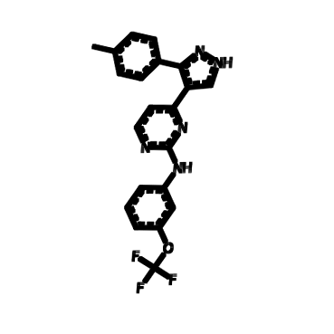 Cc1ccc(-c2n[nH]cc2-c2ccnc(Nc3cccc(OC(F)(F)F)c3)n2)cc1